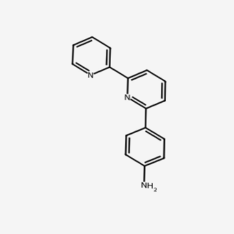 Nc1ccc(-c2cccc(-c3ccccn3)n2)cc1